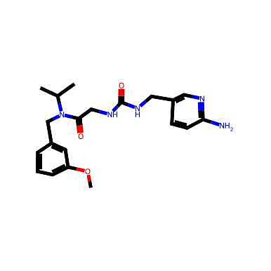 COc1cccc(CN(C(=O)CNC(=O)NCc2ccc(N)nc2)C(C)C)c1